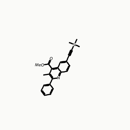 COC(=O)c1c(C)c(-c2ccccc2)nc2ccc(C#C[Si](C)(C)C)cc12